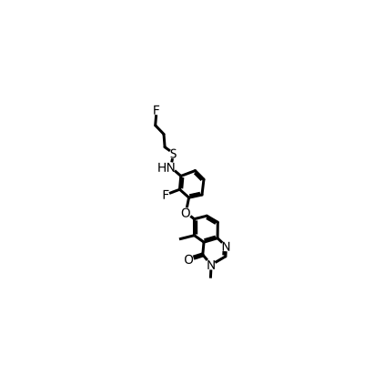 Cc1c(Oc2cccc(NSCCCF)c2F)ccc2ncn(C)c(=O)c12